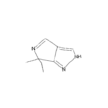 CC1(C)N=Cc2c[nH]nc21